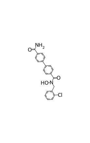 NC(=O)c1ccc(-c2ccc(C(=O)N(O)Cc3ccccc3Cl)cc2)cc1